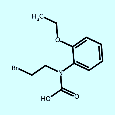 CCOc1ccccc1N(CCBr)C(=O)O